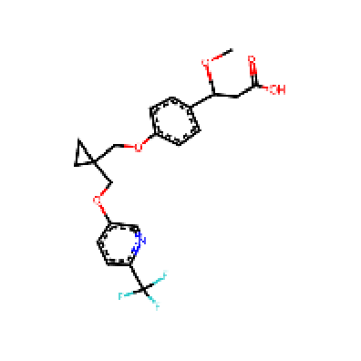 COC(CC(=O)O)c1ccc(OCC2(COc3ccc(C(F)(F)F)nc3)CC2)cc1